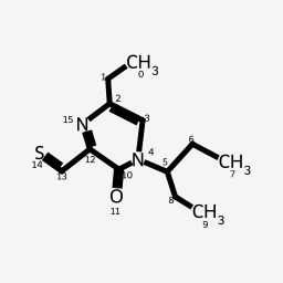 CCc1cn(C(CC)CC)c(=O)c(C=S)n1